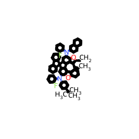 C=Cc1oc2c(N(c3ccc4ccccc4c3)c3ccccc3F)cc3c(c2c1/C=C\C)-c1c(cc(N(c2ccc(C(C)(C)C)cc2)c2ccccc2F)c2oc4ccccc4c12)C31c2ccccc2-c2ccccc21